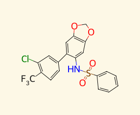 O=S(=O)(Nc1cc2c(cc1-c1ccc(C(F)(F)F)c(Cl)c1)OCO2)c1ccccc1